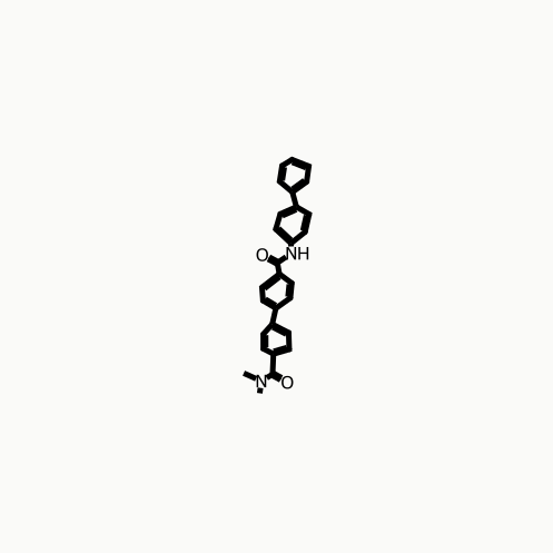 CN(C)C(=O)c1ccc(-c2ccc(C(=O)Nc3ccc(-c4ccccc4)cc3)cc2)cc1